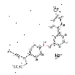 CC#CC(CC(=O)[O-])c1ccc(OCc2cccc(-c3ccc(C(F)(F)F)cc3)c2)cc1.[Na+]